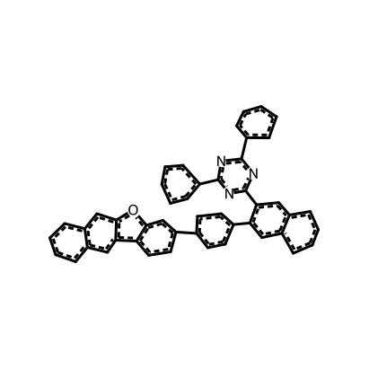 c1ccc(-c2nc(-c3ccccc3)nc(-c3cc4ccccc4cc3-c3ccc(-c4ccc5c(c4)oc4cc6ccccc6cc45)cc3)n2)cc1